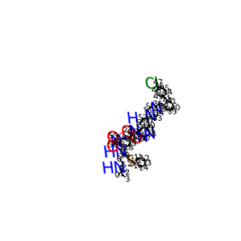 CC(C)(C)NCCC(CSc1ccccc1)Nc1ccc(S(=O)(=O)Nc2ncnc3cc(N4CCN(Cc5ccccc5-c5ccc(Cl)cc5)CC4)ccc23)cc1[N+](=O)[O-]